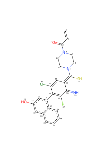 C=CC(=O)N1CCN(/C(S)=C2\C=C(Cl)C(c3cc(O)cc4ccccc34)=C(F)C2=N)CC1